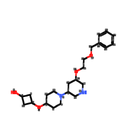 OC1CC(OC2CCN(C3CNCC(OCCOCc4ccccc4)C3)CC2)C1